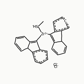 C[SiH](C)[Zr+2]([C]1=C2C=CC=CC2c2ccccc21)[C]1=C2C=CC=CC2c2ccccc21.[Cl-].[Cl-]